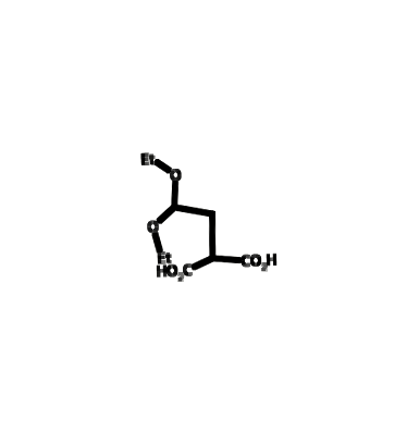 CCOC(CC(C(=O)O)C(=O)O)OCC